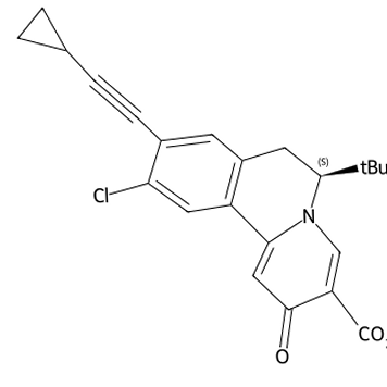 CC(C)(C)[C@@H]1Cc2cc(C#CC3CC3)c(Cl)cc2-c2cc(=O)c(C(=O)O)cn21